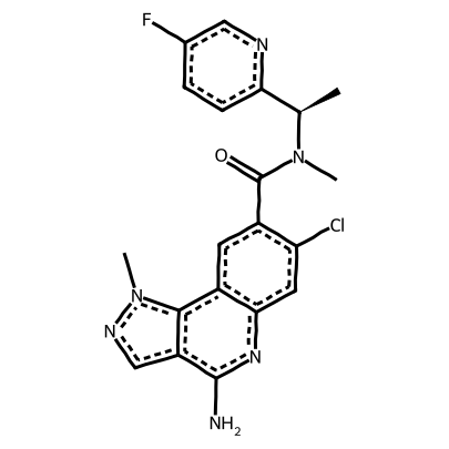 C[C@H](c1ccc(F)cn1)N(C)C(=O)c1cc2c(cc1Cl)nc(N)c1cnn(C)c12